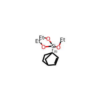 CCO[Si](OCC)(OCC)[C@@]12C=CC(CC1)C2